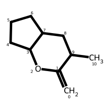 C=C1OC2CCCC2CC1C